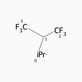 C[C](C)C(C(F)(F)F)C(F)(F)F